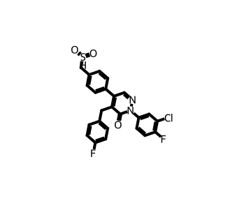 O=c1c(Cc2ccc(F)cc2)c(-c2ccc(C[SH](=O)=O)cc2)cnn1-c1ccc(F)c(Cl)c1